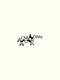 COc1nc(C(C)C)c(OC(C#N)C(N(C)C)N(C)C)nc1C